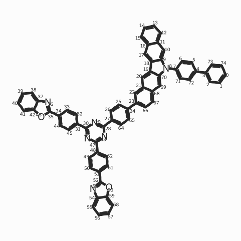 c1ccc(-c2ccc(-n3c4cc5ccccc5cc4c4cc5cc(-c6ccc(-c7nc(-c8ccc(-c9nc%10ccccc%10o9)cc8)nc(-c8ccc(-c9nc%10ccccc%10o9)cc8)n7)cc6)ccc5cc43)cc2)cc1